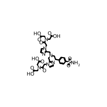 NS(=O)(=O)c1ccc(CCN(Cc2nccn2CC(=O)N(CC(=O)O)CC(=O)O)Cc2nccn2CC(=O)N(CC(=O)O)CC(=O)O)cc1